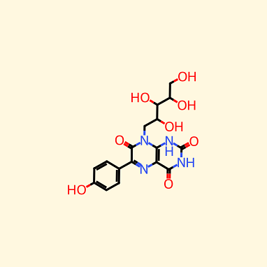 O=c1[nH]c(=O)c2nc(-c3ccc(O)cc3)c(=O)n(CC(O)C(O)C(O)CO)c2[nH]1